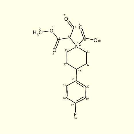 COC(=O)C(C=O)[N+]1(C(=O)[O-])CCC(c2ccc(F)cc2)CC1